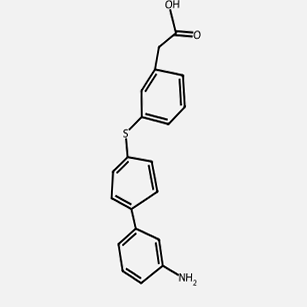 Nc1cccc(-c2ccc(Sc3cccc(CC(=O)O)c3)cc2)c1